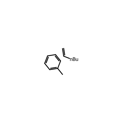 C=CCCCC.Cc1ccccc1